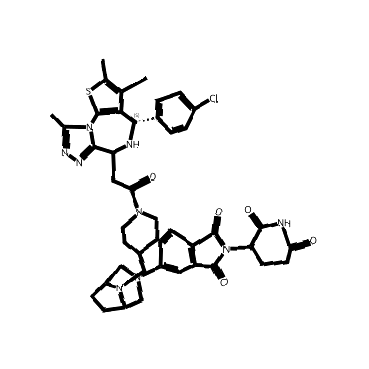 Cc1sc2c(c1C)[C@H](c1ccc(Cl)cc1)NC(CC(=O)N1CCC(CN3C4CCC3CN(c3ccc5c(c3)C(=O)N(C3CCC(=O)NC3=O)C5=O)C4)CC1)c1nnc(C)n1-2